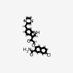 NC(=O)c1cc2cc(Cl)ccc2cc1OCC(=O)c1c[nH]c2cc(Cc3cnccn3)ccc12